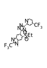 CCS(=O)(=O)c1cc2c(cc1-c1nnc(-c3cc(C(F)(F)F)ccn3)n1C)nc(C(F)(F)F)n2C